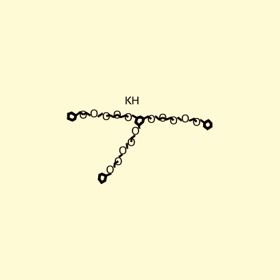 [KH].c1ccc(COCCOCCOCCOCCOCc2cc(COCCOCCOCCOCCOCc3ccccc3)cc(COCCOCCOCCOCCOCc3ccccc3)c2)cc1